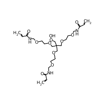 C=CC(=O)NCOCCOCC(COO)(COCCOCNC(=O)C=C)COCCOCNC(=O)C=C